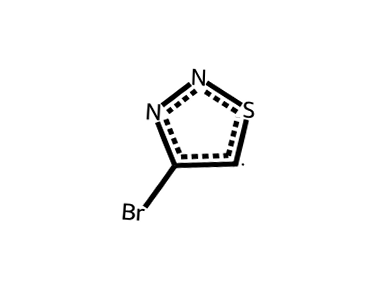 Brc1[c]snn1